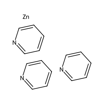 [Zn].c1ccncc1.c1ccncc1.c1ccncc1